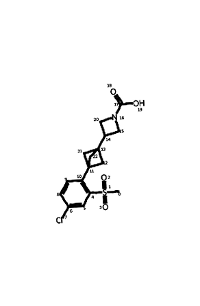 CS(=O)(=O)c1cc(Cl)ccc1C12CC(C3CN(C(=O)O)C3)(C1)C2